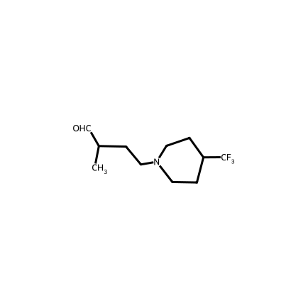 CC(C=O)CCN1CCC(C(F)(F)F)CC1